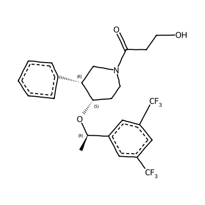 C[C@@H](O[C@H]1CCN(C(=O)CCO)C[C@H]1c1ccccc1)c1cc(C(F)(F)F)cc(C(F)(F)F)c1